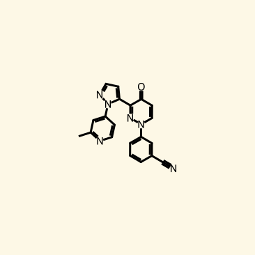 Cc1cc(-n2nccc2-c2nn(-c3cccc(C#N)c3)ccc2=O)ccn1